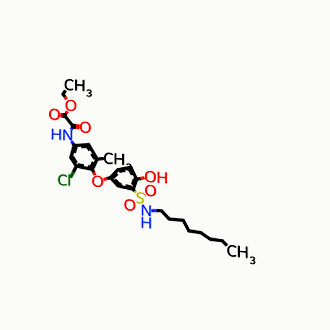 CCCCCCCCNS(=O)(=O)c1cc(Oc2c(C)cc(NC(=O)C(=O)OCC)cc2Cl)ccc1O